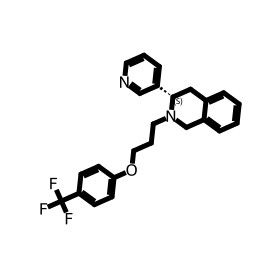 FC(F)(F)c1ccc(OCCCN2Cc3ccccc3C[C@H]2c2cccnc2)cc1